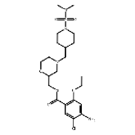 CCOc1cc(N)c(Cl)cc1C(=O)NCC1CN(CC2CCN(S(=O)(=O)N(C)C)CC2)CCO1